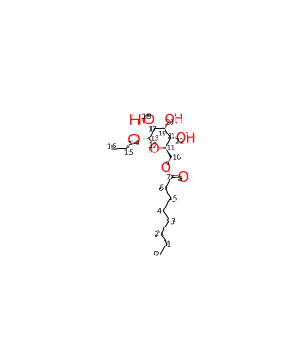 CCCCCCCC(=O)OC[C@H]1O[C@H](OCC)[C@H](O)[C@@H](O)[C@@H]1O